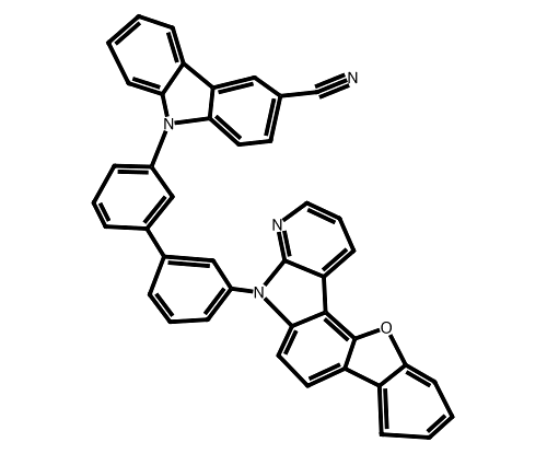 N#Cc1ccc2c(c1)c1ccccc1n2-c1cccc(-c2cccc(-n3c4ccc5c6ccccc6oc5c4c4cccnc43)c2)c1